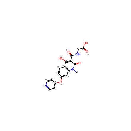 Cn1c(=O)c(C(=O)NCC(=O)O)c(O)c2ccc(Oc3ccncc3)cc21